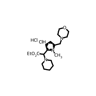 CCOC(=O)C(c1ccc(CN2CCOCC2)n1C)N1CCCCC1.Cl.Cl